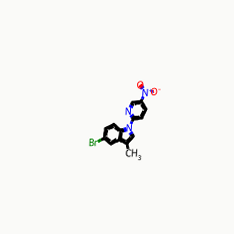 Cc1cn(-c2ccc([N+](=O)[O-])cn2)c2ccc(Br)cc12